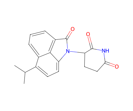 CC(C)c1ccc2c3c(cccc13)C(=O)N2C1CCC(=O)NC1=O